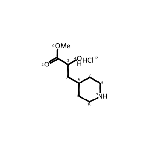 COC(=O)C(O)CC1CCNCC1.Cl